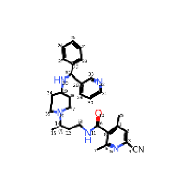 Cc1cc(C#N)nc(C)c1C(=O)NCC[C@@H](C)N1CCC(NC(c2ccccc2)c2cccnc2)CC1